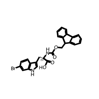 O=C(N[C@@H](Cc1c[nH]c2cc(Br)ccc12)C(=O)O)OCC1c2ccccc2-c2ccccc21